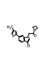 Cc1csc(-c2cnc3c(Cl)cn(CC(=O)N4CCC4)c3c2)c1